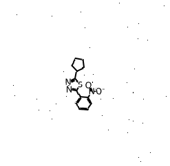 O=[N+]([O-])c1ccccc1-c1nnc(C2CCCC2)s1